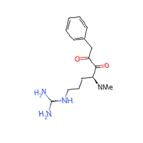 CN[C@@H](CCCNC(N)N)C(=O)C(=O)Cc1ccccc1